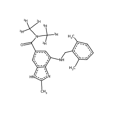 [2H]C([2H])([2H])N(C(=O)c1cc(NCc2c(C)cccc2C)c2nc(C)[nH]c2c1)C([2H])([2H])[2H]